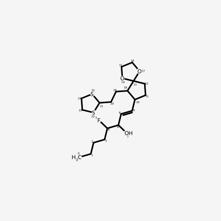 CCCCC(F)C(O)C=CC1CCC2(OCCO2)C1CCC1SCCS1